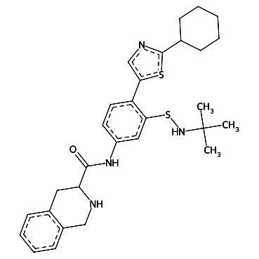 CC(C)(C)NSc1cc(NC(=O)C2Cc3ccccc3CN2)ccc1-c1cnc(C2CCCCC2)s1